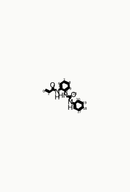 C=CC(=O)Nc1ccccc1NC(=O)Nc1ccccc1